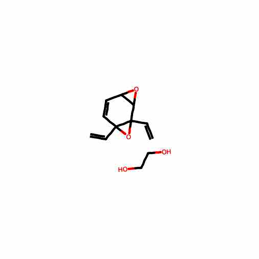 C=CC12C=CC3OC3C1(C=C)O2.OCCO